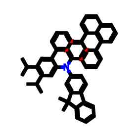 CC(C)c1cc(-c2ccccc2)c(N(c2ccc(-c3cccc4cccc(-c5ccccc5)c34)cc2)c2ccc3c(c2)C(C)(C)c2ccccc2-3)cc1C(C)C